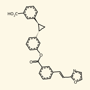 O=C(O)c1cccc([C@H]2C[C@@H]2c2cccc(OC(=O)c3cccc(/C=C/c4ncco4)c3)c2)c1